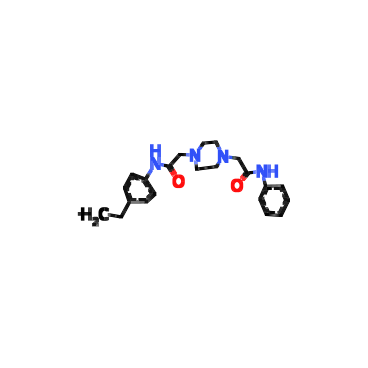 [CH2]Cc1ccc(NC(=O)CN2CCN(CC(=O)Nc3ccccc3)CC2)cc1